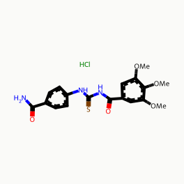 COc1cc(C(=O)NC(=S)Nc2ccc(C(N)=O)cc2)cc(OC)c1OC.Cl